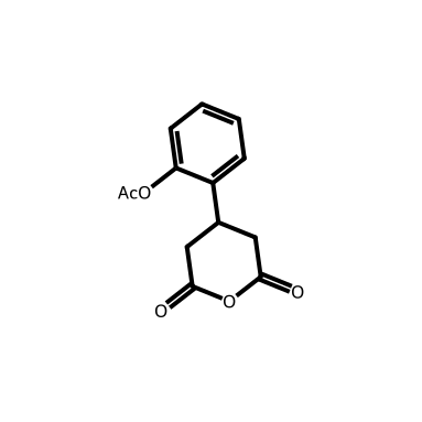 CC(=O)Oc1ccccc1C1CC(=O)OC(=O)C1